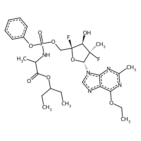 CCOc1nc(C)nc2c1ncn2[C@@H]1O[C@](F)(COP(=O)(NC(C)C(=O)OC(CC)CC)Oc2ccccc2)[C@@H](O)[C@@]1(C)F